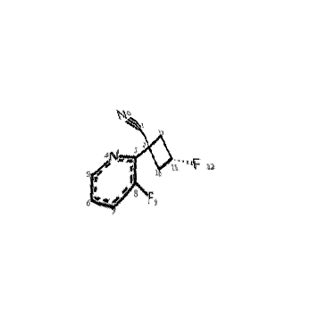 N#C[C@]1(c2ncccc2F)C[C@@H](F)C1